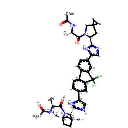 COC(=O)N[C@H](C(=O)N1CC2(CC2)C[C@H]1c1ncc(-c2ccc3c(c2)C(F)(F)c2cc(-c4cnc([C@@H]5[C@H]6CC[C@H](C6)N5C(=O)[C@@H](NC(=O)OC)C(C)C)[nH]4)ccc2-3)[nH]1)C(C)C